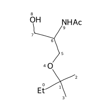 CCC(C)(C)OCC(CO)NC(C)=O